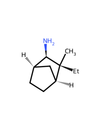 CC[C@@]1(C)[C@H]2CC[C@H](C2)[C@H]1N